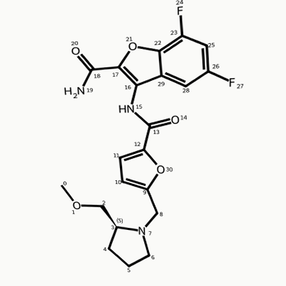 COC[C@@H]1CCCN1Cc1ccc(C(=O)Nc2c(C(N)=O)oc3c(F)cc(F)cc23)o1